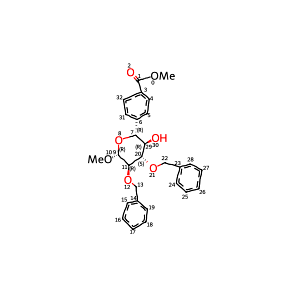 COC(=O)c1ccc([C@H]2O[C@@H](OC)[C@H](OCc3ccccc3)[C@@H](OCc3ccccc3)[C@@H]2O)cc1